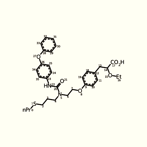 CCCSCCCN(CCOc1ccc(CC(OCC)C(=O)O)cc1)C(=O)Nc1ccc(Oc2ccccc2)cc1